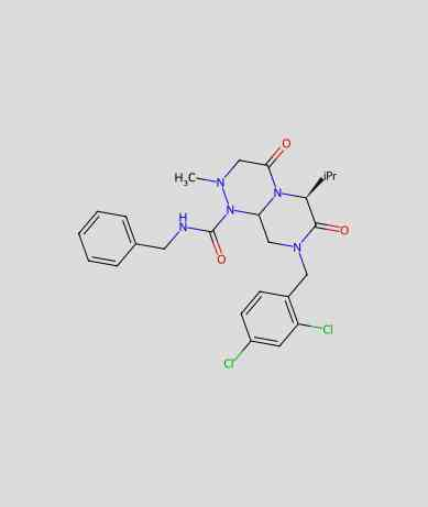 CC(C)[C@H]1C(=O)N(Cc2ccc(Cl)cc2Cl)CC2N1C(=O)CN(C)N2C(=O)NCc1ccccc1